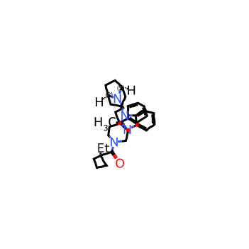 CCC1(C(=O)N2CCC(CCN3[C@@H]4CC[C@H]3CC(n3c(C)nc5ccccc53)C4)(c3ccccc3)CC2)CCC1